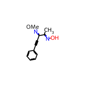 CON=C(C#Cc1ccccc1)C(C)=NO